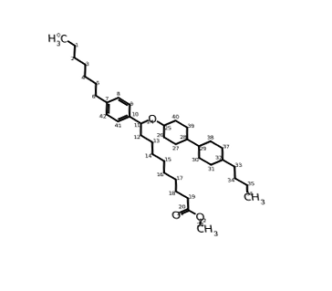 CCCCCCCc1ccc(C(CCCCCCCCC(=O)OC)OC2CCC(C3CCC(CCCC)CC3)CC2)cc1